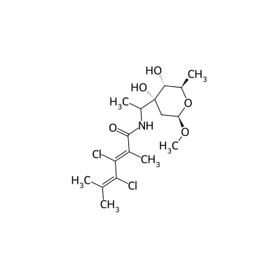 CO[C@H]1C[C@@](O)(C(C)NC(=O)/C(C)=C(\Cl)C(Cl)=C(C)C)[C@H](O)[C@@H](C)O1